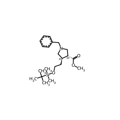 COC(=O)[C@H]1CN(Cc2ccccc2)C[C@@H]1CCO[Si](C)(C)C(C)(C)C